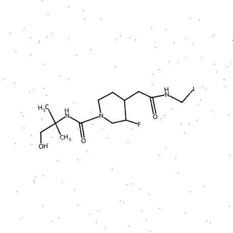 CC(C)(CO)NC(=O)N1CCC(CC(=O)NCI)C(F)C1